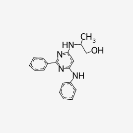 CC(CO)Nc1cc(Nc2ccccc2)nc(-c2ccccc2)n1